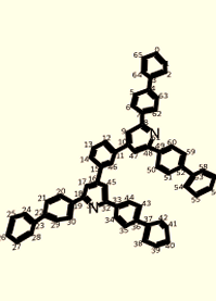 c1ccc(-c2ccc(-c3cc(-c4cccc(-c5cc(-c6ccc(-c7ccccc7)cc6)nc(-c6ccc(-c7ccccc7)cc6)c5)c4)cc(-c4ccc(-c5ccccc5)cc4)n3)cc2)cc1